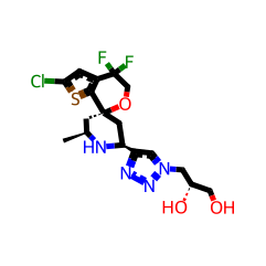 C[C@H]1C[C@@]2(C[C@@H](c3cn(C[C@@H](O)CO)nn3)N1)OCC(F)(F)c1cc(Cl)sc12